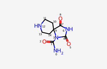 NC(=O)N1C(=O)NC(=O)C12CCNCC2